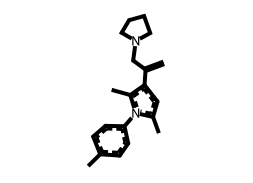 C=C(CN1CCCC1)c1cc(C)n(-c2ccc(C)cc2)c1C